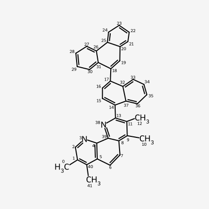 Cc1cnc2c(ccc3c(C)c(C)c(-c4ccc(-c5cc6ccccc6c6ccccc56)c5ccccc45)nc32)c1C